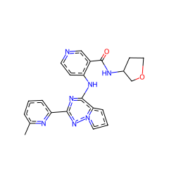 Cc1cccc(-c2nc(Nc3ccncc3C(=O)NC3CCOC3)c3cccn3n2)n1